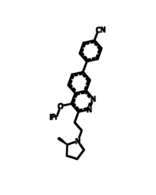 CC(C)Oc1c(CCN2CCC[C@H]2C)nnc2cc(-c3ccc(C#N)cc3)ccc12